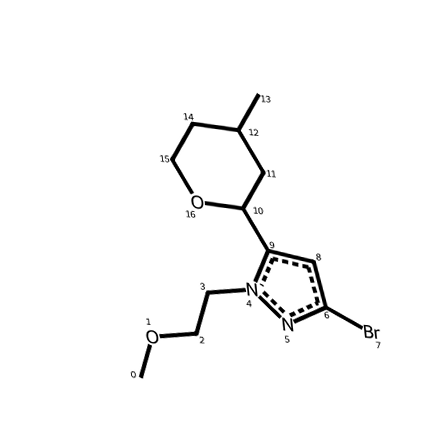 COCCn1nc(Br)cc1C1CC(C)CCO1